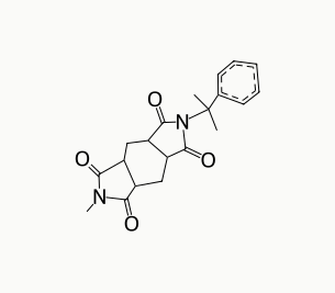 CN1C(=O)C2CC3C(=O)N(C(C)(C)c4ccccc4)C(=O)C3CC2C1=O